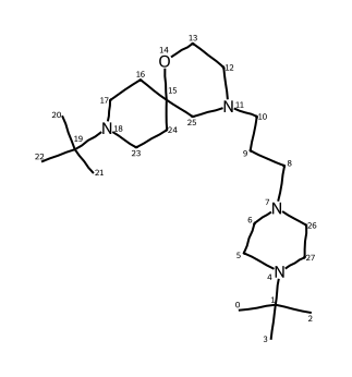 CC(C)(C)N1CCN(CCCN2CCOC3(CCN(C(C)(C)C)CC3)C2)CC1